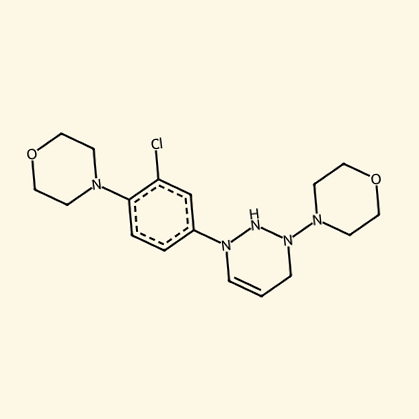 Clc1cc(N2C=CCN(N3CCOCC3)N2)ccc1N1CCOCC1